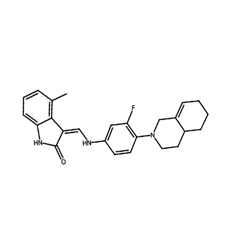 Cc1cccc2c1C(=CNc1ccc(N3CCC4CCCC=C4C3)c(F)c1)C(=O)N2